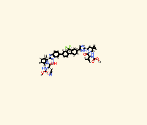 COC(=O)N[C@@H](CC#N)C(O)N1[C@@H]2CC[C@@H](C2)[C@H]1c1nc2ccc(-c3ccc4c(c3)C(F)(F)c3cc(-c5cnc([C@@H]6CC7(CC7)CN6C(=O)[C@@H](NC(=O)OC)C(C)C)[nH]5)ccc3-4)cc2[nH]1